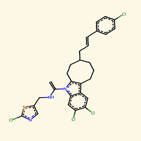 C=C(NCc1cnc(Cl)s1)n1c2c(c3cc(Cl)c(Cl)cc31)CCCC(C/C=C/c1ccc(Cl)cc1)CC2